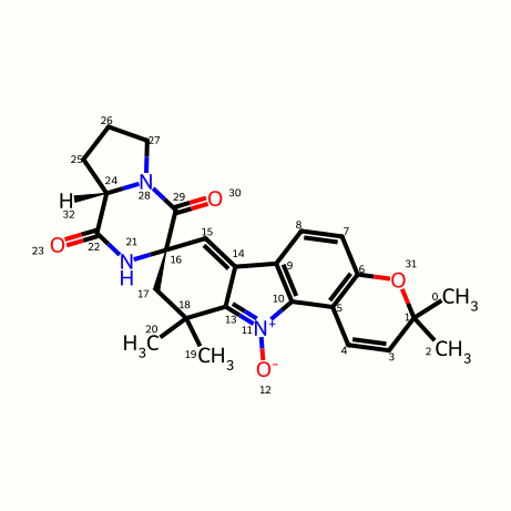 CC1(C)C=Cc2c(ccc3c2[N+]([O-])=C2C3=C[C@]3(CC2(C)C)NC(=O)[C@@H]2CCCN2C3=O)O1